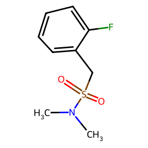 CN(C)S(=O)(=O)Cc1ccccc1F